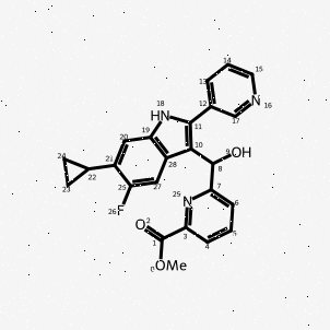 COC(=O)c1cccc(C(O)c2c(-c3cccnc3)[nH]c3cc(C4CC4)c(F)cc23)n1